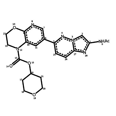 CC(=O)Nc1cn2nc(-c3cnc4c(c3)N(C(=O)OC3CCOCC3)CCO4)ccc2n1